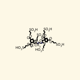 CC1(C)C(/C=C/C=C2/N(CCCS(=O)(=O)O)c3cc(C(=O)OCCCS(=O)(=O)O)cc(C(=O)OCCCS(=O)(=O)O)c3C2(C)C)=[N+](CCCS(=O)(=O)O)c2cc(C(=O)OCCCS(=O)(=O)O)cc(C(=O)OCCCS(=O)(=O)O)c21